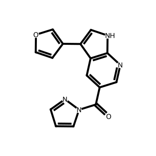 O=C(c1cnc2[nH]cc(-c3ccoc3)c2c1)n1cccn1